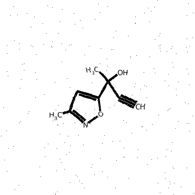 C#CC(C)(O)c1cc(C)no1